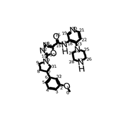 COc1cccc(C2CCN(c3nnc(C(=O)Nc4cnccc4N4CCNCC4)o3)C2)c1